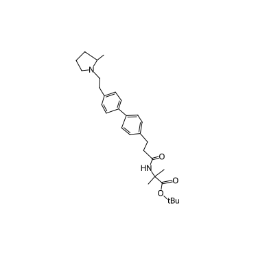 CC1CCCN1CCc1ccc(-c2ccc(CCC(=O)NC(C)(C)C(=O)OC(C)(C)C)cc2)cc1